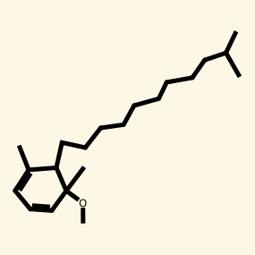 COC1(C)C=CC=C(C)C1CCCCCCCCCC(C)C